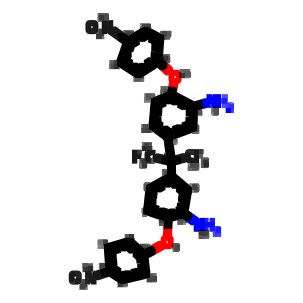 Nc1cc(C(c2ccc(Oc3ccc([N+](=O)[O-])cc3)c(N)c2)(C(F)(F)F)C(F)(F)F)ccc1Oc1ccc([N+](=O)[O-])cc1